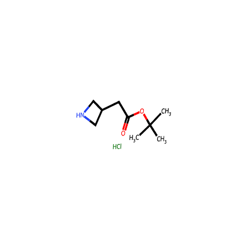 CC(C)(C)OC(=O)CC1CNC1.Cl